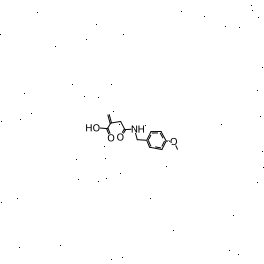 C=C(CC(=O)NCc1ccc(OC)cc1)C(=O)O